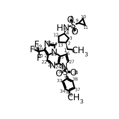 CC[C@@H]1C[C@H](NS(=O)(=O)C2CC2)C[C@H]1c1nc(C(F)(F)F)c2cnc3c(ccn3S(=O)(=O)c3ccc(C)cc3)n12